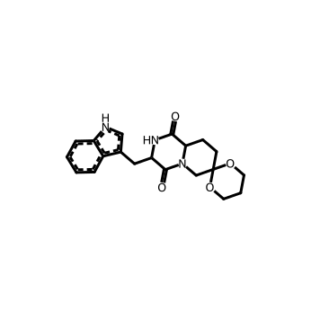 O=C1NC(Cc2c[nH]c3ccccc23)C(=O)N2CC3(CCC12)OCCCO3